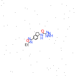 CCc1nc(-c2ccc3c(c2)CCC3NC(=O)c2nn[nH]n2)no1